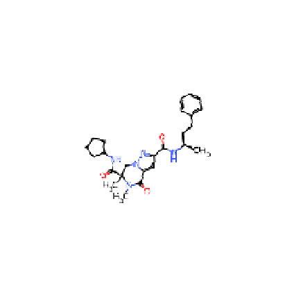 CC(CCc1ccccc1)NC(=O)c1cc2n(n1)CC(C)(C(=O)NC1CCCC1)N(C)C2=O